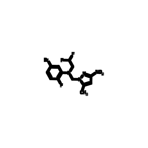 Cc1cc([N+](=O)[O-])nn1CN(CC(F)F)c1cc(Br)ccc1F